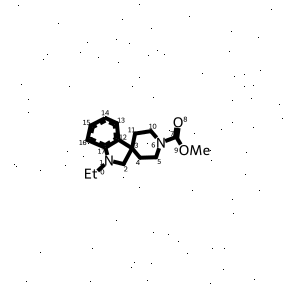 CCN1CC2(CCN(C(=O)OC)CC2)c2ccccc21